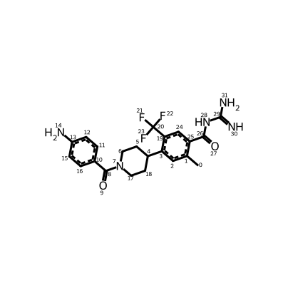 Cc1cc(C2CCN(C(=O)c3ccc(N)cc3)CC2)c(C(F)(F)F)cc1C(=O)NC(=N)N